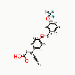 CC#C[C@@H](CC(=O)O)c1ccc(OCc2cccc(OC(F)(F)F)c2)cc1